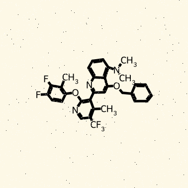 Cc1c(Oc2ncc(C(F)(F)F)c(C)c2-c2cc(OCc3ccccc3)c3c(N(C)C)cccc3n2)ccc(F)c1F